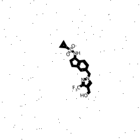 O=S(=O)(NC1CCc2cc(Cn3cc(CO)c(C(F)(F)F)n3)ccc21)C1CC1